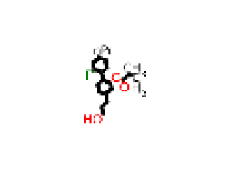 C=C(C)C(=O)Oc1cc(CCCO)ccc1-c1ccc(CCC)cc1F